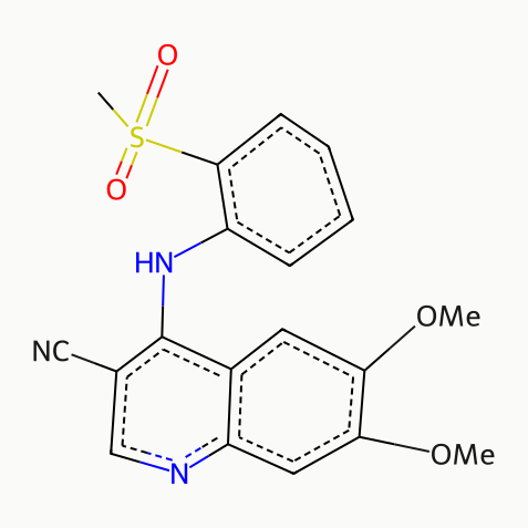 COc1cc2ncc(C#N)c(Nc3ccccc3S(C)(=O)=O)c2cc1OC